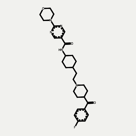 O=C(NC1CCC(CCN2CCC(C(=O)c3ccc(F)cc3)CC2)CC1)c1cnc(N2CCOCC2)nc1